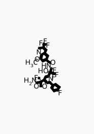 COc1cc(C(=O)NC[C@](O)(c2cc3c(c(-c4ccc(F)cc4)n2)OC[C@@]3(CF)C(N)=O)C(F)(F)F)cc2cc(C(F)(F)F)cnc12